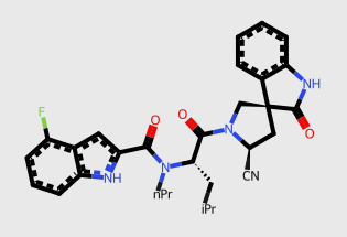 CCCN(C(=O)c1cc2c(F)cccc2[nH]1)[C@@H](CC(C)C)C(=O)N1C[C@]2(C[C@H]1C#N)C(=O)Nc1ccccc12